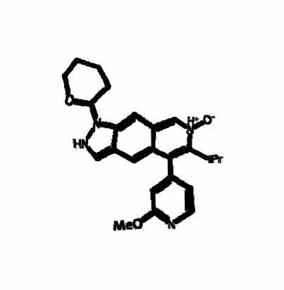 COc1cc(C2=C(C(C)C)[NH+]([O-])C=c3cc4c(cc32)=CNN4C2CCCCO2)ccn1